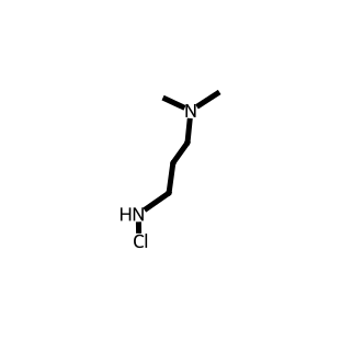 CN(C)CCCNCl